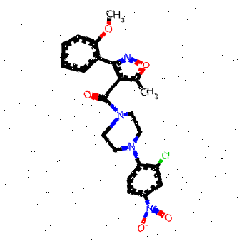 COc1ccccc1-c1noc(C)c1C(=O)N1CCN(c2ccc([N+](=O)[O-])cc2Cl)CC1